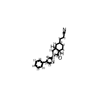 N#CCCC1CC[C@@H]2C(=O)N(c3ncc(-c4ccccc4)s3)C[C@@H]2C1